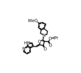 COc1ccc2c(c1)CN(C1=C(C(=O)OC(C)C)C(=O)C(=Cc3c[nH]c4ncccc34)O1)CC2